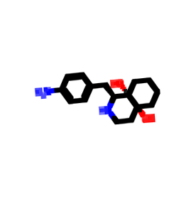 Nc1ccc(C[C@@H]2NCC[C@@]3(O)CCCC[C@]23O)cc1